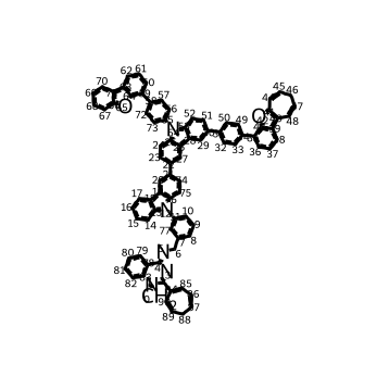 C=N/C(=N\C(=N/Cc1cccc(-n2c3ccccc3c3cc(-c4ccc5c(c4)c4cc(-c6ccc(-c7cccc8c9c(oc78)C=CCC=C9)cc6)ccc4n5-c4ccc(-c5cccc6c5oc5ccccc56)cc4)ccc32)c1)c1ccccc1)C1=CC=CCC=C1